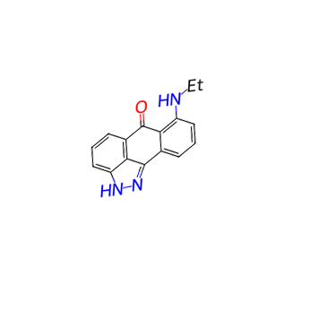 CCNc1cccc2c1C(=O)c1cccc3[nH]nc-2c13